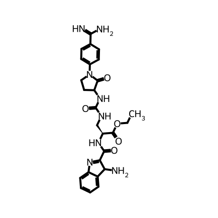 CCOC(=O)[C@H](CNC(=O)NC1CCN(c2ccc(C(=N)N)cc2)C1=O)NC(=O)C1=Nc2ccccc2C1N